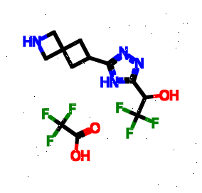 O=C(O)C(F)(F)F.OC(c1nnc(C2CC3(CNC3)C2)[nH]1)C(F)(F)F